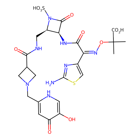 CC(C)(O/N=C(\C(=O)N[C@@H]1C(=O)N(S(=O)(=O)O)[C@@H]1CNC(=O)C1CN(Cc2cc(=O)c(O)c[nH]2)C1)c1csc(N)n1)C(=O)O